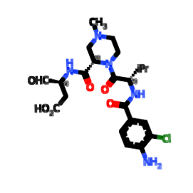 CC(C)[C@H](NC(=O)c1ccc(N)c(Cl)c1)C(=O)N1CCN(C)C[C@H]1C(=O)N[C@H](C=O)CC(=O)O